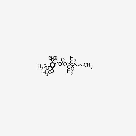 CCCCSC(=O)C(C)(C)COC(=O)OCc1cc(OC)c(OC)cc1[N+](=O)[O-]